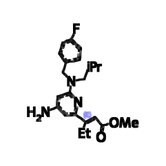 CC/C(=C\C(=O)OC)c1cc(N)cc(N(Cc2ccc(F)cc2)CC(C)C)n1